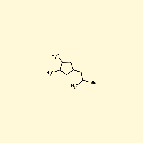 CCCCC(C)CC1CC(C)C(C)C1